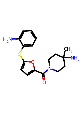 CC1(N)CCN(C(=O)c2ccc(Sc3ccccc3N)o2)CC1